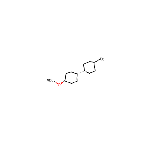 CCCCO[C@H]1CC[C@H](C2CCC(CC)CC2)CC1